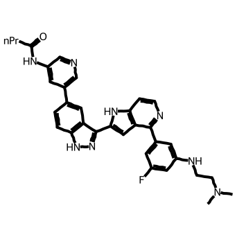 CCCC(=O)Nc1cncc(-c2ccc3[nH]nc(-c4cc5c(-c6cc(F)cc(NCCN(C)C)c6)nccc5[nH]4)c3c2)c1